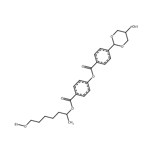 CCCCCCCCC1COC(c2ccc(C(=O)Oc3ccc(C(=O)OC(C)CCCCCOCC)cc3)cc2)OC1